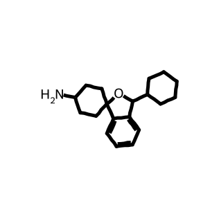 NC1CCC2(CC1)OC(C1CCCCC1)c1ccccc12